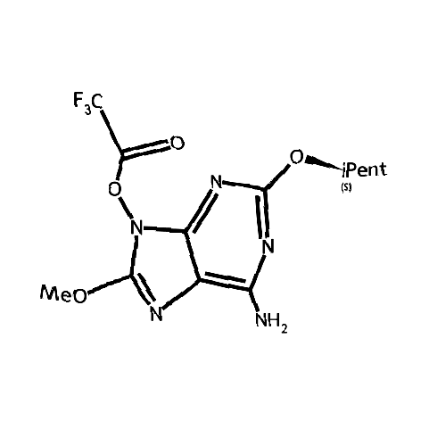 CCC[C@H](C)Oc1nc(N)c2nc(OC)n(OC(=O)C(F)(F)F)c2n1